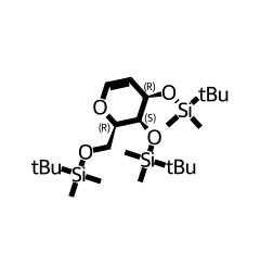 CC(C)(C)[Si](C)(C)OC[C@H]1OC=C[C@@H](O[Si](C)(C)C(C)(C)C)[C@H]1O[Si](C)(C)C(C)(C)C